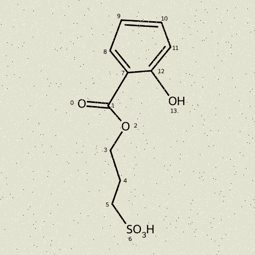 O=C(OCCCS(=O)(=O)O)c1ccccc1O